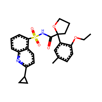 CCOc1ccc(C)cc1C1(C(=O)NS(=O)(=O)c2cccc3nc(C4CC4)ccc23)CCCO1